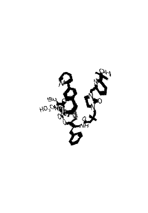 CC(C)(CC(=O)N[C@@H](Cc1ccccc1)[C@H](C[C@@H](Cc1ccc(-c2ccccn2)cc1)NC(=O)[C@@H](NC(=O)O)C(C)(C)C)OP(=O)(O)O)CN1CCN(Cc2cccc(C(C)(C)O)n2)C1=O